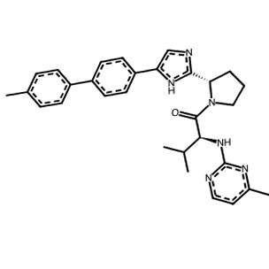 Cc1ccc(-c2ccc(-c3cnc([C@@H]4CCCN4C(=O)[C@@H](Nc4nccc(C)n4)C(C)C)[nH]3)cc2)cc1